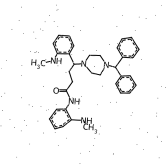 CNc1ccccc1NC(=O)CCC(c1ccccc1NC)N1CCN(C(c2ccccc2)c2ccccc2)CC1